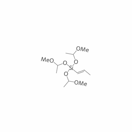 CC=C[Si](OC(C)OC)(OC(C)OC)OC(C)OC